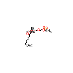 CCCCCCCCCCCCCCCCC(COC(CC)OCCOCCOS(C)(=O)=O)OCCCCCC